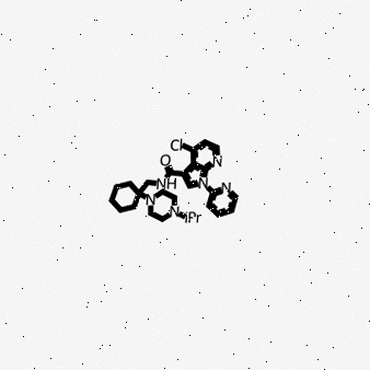 CC(C)N1CCN(C2(CNC(=O)c3cn(-c4ccccn4)c4nccc(Cl)c34)CCCCC2)CC1